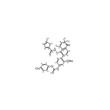 COc1cc(OC(=O)Oc2ccc(Cl)cc2)ccc1-c1ccc2c(c1COC(=O)c1ccc(C)s1)C(C)=CC(C)(C)N2